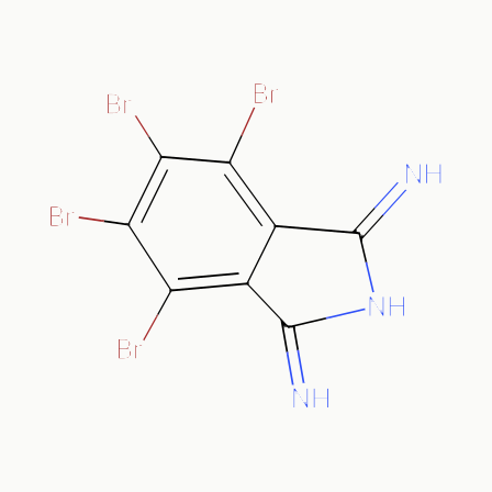 N=C1NC(=N)c2c(Br)c(Br)c(Br)c(Br)c21